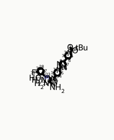 CC(C)(C)OC(=O)N1CC=C(c2cnc(N3CCC(n4nc(N)c(N)c4/C=C(\N)c4cccc(F)c4O)CC3)nc2)CC1